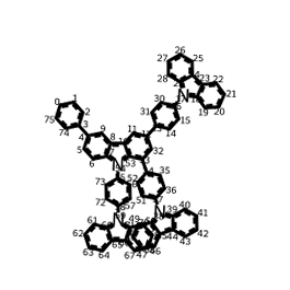 c1ccc(-c2ccc3c(c2)c2cc(-c4ccc(-n5c6ccccc6c6ccccc65)cc4)cc(-c4ccc(-n5c6ccccc6c6ccccc65)cc4)c2n3-c2ccc(-n3c4ccccc4c4ccccc43)cc2)cc1